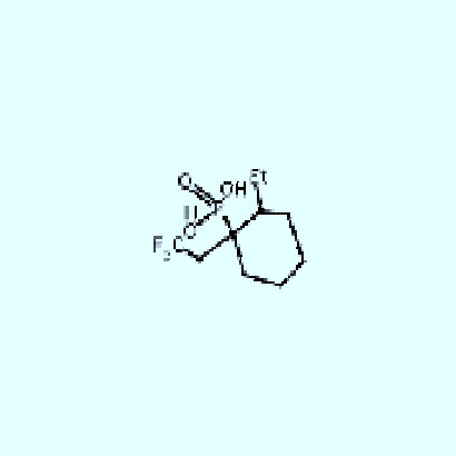 CCC1CCCCC1(CC(F)(F)F)P(=O)(O)O